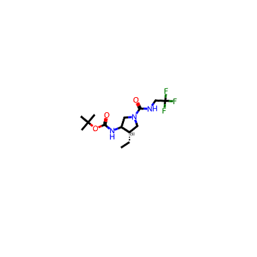 CC[C@H]1CN(C(=O)NCC(F)(F)F)CC1NC(=O)OC(C)(C)C